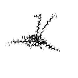 CCCCCCCCCCCCCC(C)C(CCCCCCCCCCCCC)(CCCCCCCCCCCCC)C(CCCCCCCCCCCCC)(c1cc(C(C)(C)C)[c]cc1C)c1cc(C(C)(C)C)[c]cc1C